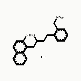 CNCc1ccccc1CCC(O)Cc1c(S)ccc2ccccc12.Cl